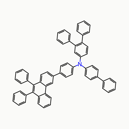 c1ccc(-c2ccc(N(c3ccc(-c4ccc5c(-c6ccccc6)c(-c6ccccc6)c6ccccc6c5c4)cc3)c3ccc(-c4ccccc4)c(-c4ccccc4)c3)cc2)cc1